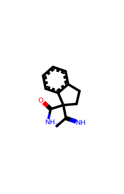 CC(=N)C1(C(N)=O)CCc2ccccc21